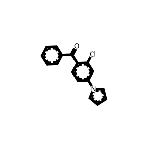 O=C(c1ccccc1)c1ccc(-n2cccc2)cc1Cl